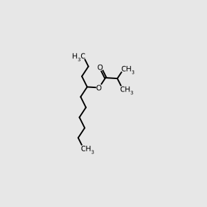 CCCCCCC(CCC)OC(=O)C(C)C